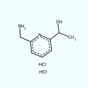 CC(O)c1cccc(CN)n1.Cl.Cl